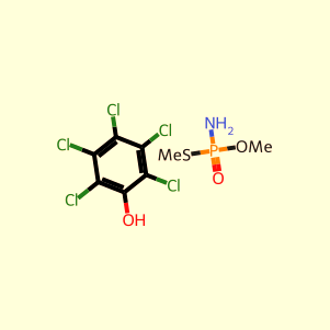 COP(N)(=O)SC.Oc1c(Cl)c(Cl)c(Cl)c(Cl)c1Cl